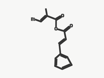 CCC=C(C)C(=O)OC(=O)/C=C/c1ccccc1